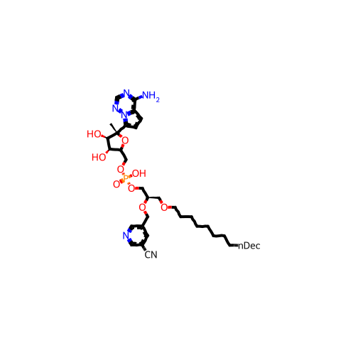 CCCCCCCCCCCCCCCCCCOC[C@H](COP(=O)(O)OCC1O[C@@](C)(c2ccc3c(N)ncnn23)[C@H](O)[C@@H]1O)OCc1cncc(C#N)c1